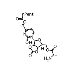 CCCCCC(=O)ONc1ccn([C@@H]2OC(COC(=O)[C@H](C)N)[C@H]3OC(=O)O[C@H]32)c(=O)n1